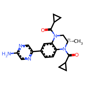 C[C@H]1CN(C(=O)C2CC2)c2cc(-c3cnc(N)cn3)ccc2N1C(=O)C1CC1